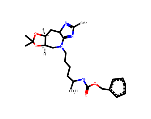 CSC1=NC2C[C@@H]3OC(C)(C)O[C@@H]3CN(CCCCC(NC(=O)OCc3ccccc3)C(=O)O)C2=N1